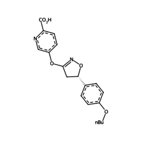 CCCCOc1ccc([C@@H]2CC(Oc3ccc(C(=O)O)nc3)=NO2)cc1